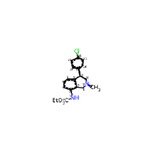 CCOC(=O)Nc1cccc2c1CN(C)CC2c1ccc(Cl)cc1